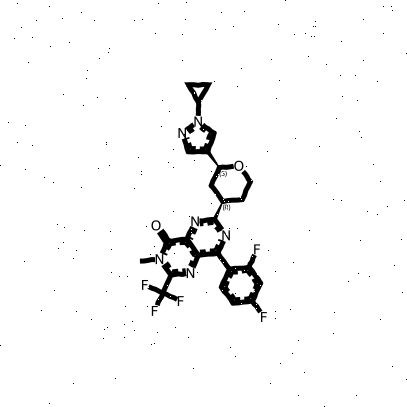 Cn1c(C(F)(F)F)nc2c(-c3ccc(F)cc3F)nc([C@@H]3CCO[C@H](c4cnn(C5CC5)c4)C3)nc2c1=O